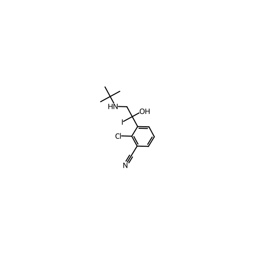 CC(C)(C)NCC(O)(I)c1cccc(C#N)c1Cl